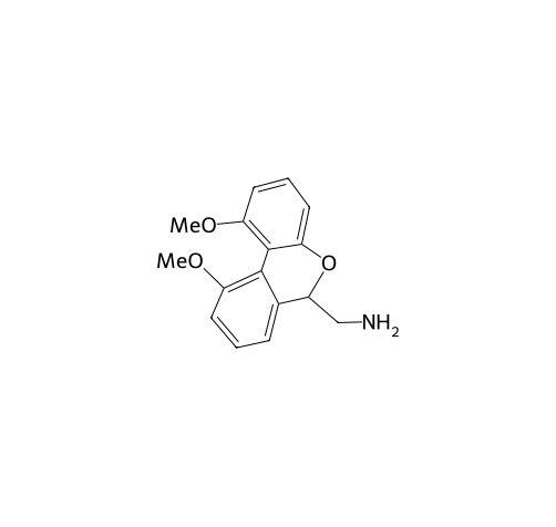 COc1cccc2c1-c1c(OC)cccc1C(CN)O2